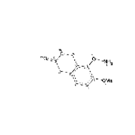 COc1ccc2c(c1ON)COC(=O)C2